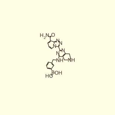 NC(=O)c1cccn2c(-c3nc4c(c(NCc5cccc(B(O)O)c5)n3)CNCC4)nnc12